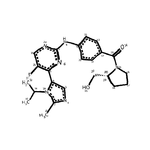 Cc1ncc(-c2nc(Nc3ccc(C(=O)N4CCC[C@@H]4CO)cc3)ncc2F)n1C(C)C